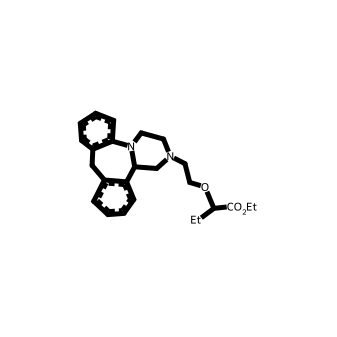 CCOC(=O)C(CC)OCCN1CCN2c3ccccc3Cc3ccccc3C2C1